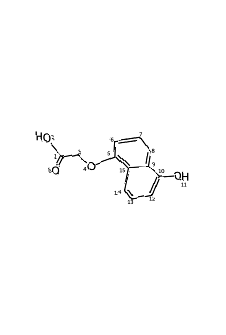 O=C(O)COc1cccc2c(O)cccc12